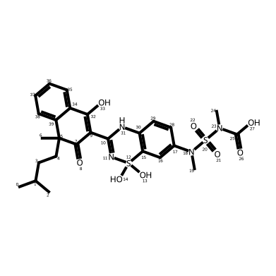 CC(C)CCC1(C)C(=O)C(C2=NS(O)(O)c3cc(N(C)S(=O)(=O)N(C)C(=O)O)ccc3N2)=C(O)c2ccccc21